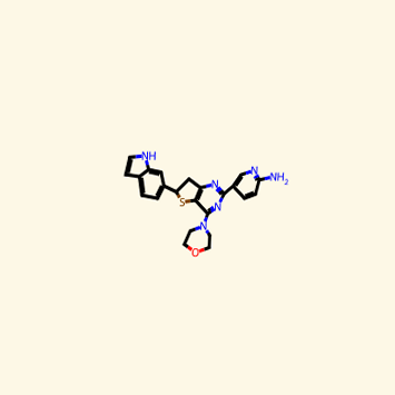 Nc1ccc(-c2nc3c(c(N4CCOCC4)n2)SC(c2ccc4cc[nH]c4c2)C3)cn1